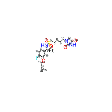 CCC(NS(=O)(=O)CC/C=C/CN1CC(=O)NC1=O)c1ccc(F)c(OCC2CC2)c1